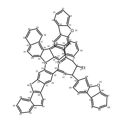 CCC1CC(c2ccc3c(c2)oc2ccccc23)=NC(c2cc3c(cc2-n2c4cc5ccccc5cc4c4c5ccccc5ccc42)sc2c4ccccc4ccc32)=NC1c1ccc2c(c1)oc1ccccc12